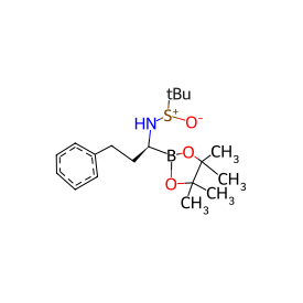 CC(C)(C)[S+]([O-])N[C@H](CCc1ccccc1)B1OC(C)(C)C(C)(C)O1